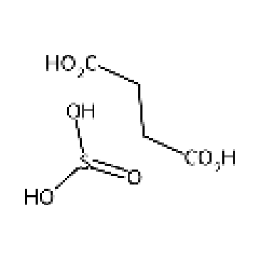 O=C(O)CCC(=O)O.O=S(O)O